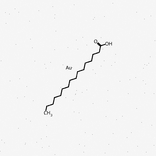 CCCCCCCCCCCCCCCC(=O)O.[Au]